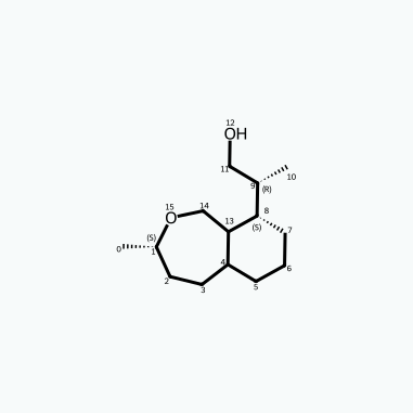 C[C@H]1CCC2CCC[C@@H]([C@@H](C)CO)C2CO1